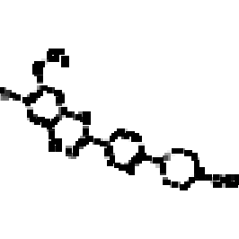 O=CN1CCN(c2ccc(C(=O)Nc3cc(OC(F)(F)F)c(Br)cc3Cl)cn2)CC1